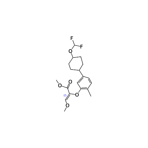 CO/C=C(\Oc1cc(C2CCC(OC(F)F)CC2)ccc1C)C(=O)OC